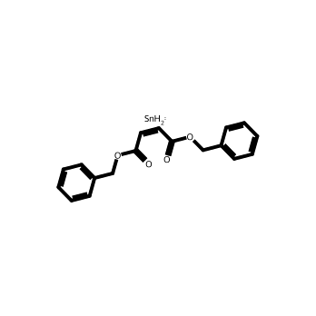 O=C(/C=C\C(=O)OCc1ccccc1)OCc1ccccc1.[SnH2]